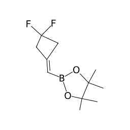 CC1(C)OB(C=C2CC(F)(F)C2)OC1(C)C